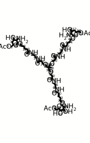 CC(=O)OCC1CC(O)C(N)C(OCCCCC(=O)NCCCNC(=O)CCOCC(C)(COCCC(=O)NCCCNC(=O)CCCCOC2OC(COC(C)=O)CC(O)C2N)COCCC(=O)NCCCNC(=O)CCCCOC2OC(COC(C)=O)C(O)C(O)C2N)O1